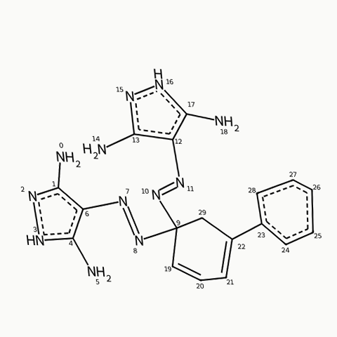 Nc1n[nH]c(N)c1N=NC1(N=Nc2c(N)n[nH]c2N)C=CC=C(c2ccccc2)C1